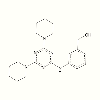 OCc1cccc(Nc2nc(N3CCCCC3)nc(N3CCCCC3)n2)c1